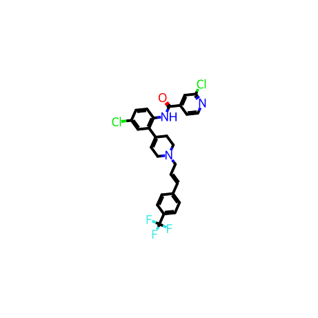 O=C(Nc1ccc(Cl)cc1C1=CCN(CC=Cc2ccc(C(F)(F)F)cc2)CC1)c1ccnc(Cl)c1